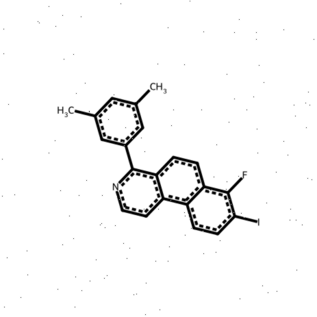 Cc1cc(C)cc(-c2nccc3c2ccc2c(F)c(I)ccc23)c1